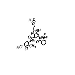 CCOCCc1nc2c(C(=O)Nc3cccc(Cl)c3C)cc(NC(=O)c3ccccc3C(F)(F)F)cc2[nH]1.Cl